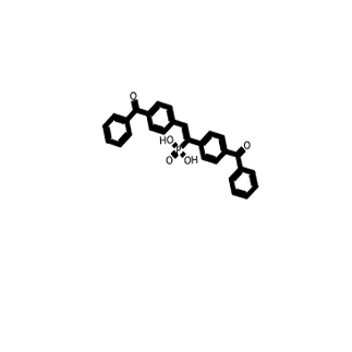 O=C(c1ccccc1)c1ccc(C=C(c2ccc(C(=O)c3ccccc3)cc2)P(=O)(O)O)cc1